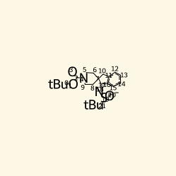 CC(C)(C)OC(=O)N1CCC2(CC1)Cc1ccccc1C2=N[S+]([O-])C(C)(C)C